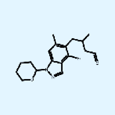 Cc1cc2c(cnn2C2CCCCO2)c(Br)c1CC(C)CC=O